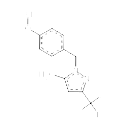 [CH2]c1cc(C(F)(F)F)nn1Cc1ccc(OC)cc1